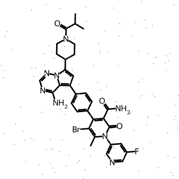 Cc1c(Br)c(-c2ccc(-c3cc(C4CCN(C(=O)C(C)C)CC4)n4ncnc(N)c34)cc2)c(C(N)=O)c(=O)n1-c1cncc(F)c1